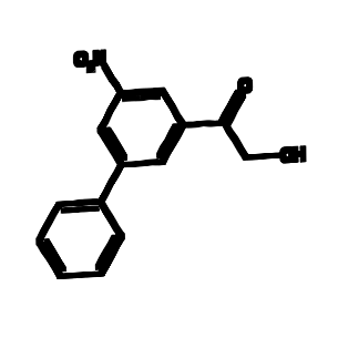 O=C(CO)c1cc(-c2ccccc2)cc([N+](=O)[O-])c1